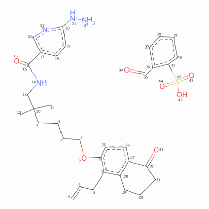 C=CCc1c(OCCCCC(C)(C)CNC(=O)c2ccc(NN)nc2)ccc2c1CCCC2=O.O=Cc1ccccc1S(=O)(=O)O